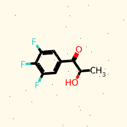 CC(O)C(=O)c1cc(F)c(F)c(F)c1